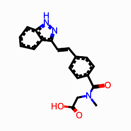 CN(CC(=O)O)C(=O)c1ccc(C=Cc2n[nH]c3ccccc23)cc1